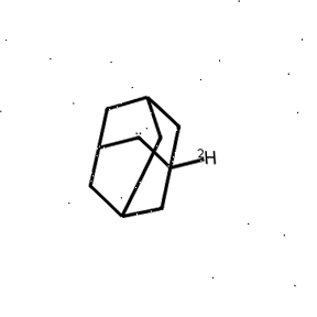 [2H]C12[C]C3CC(CC(C3)C1)C2